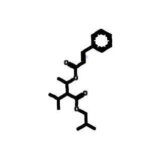 CC(C)COC(=O)C(C(C)C)C(C)OC(=O)/C=C/c1ccccc1